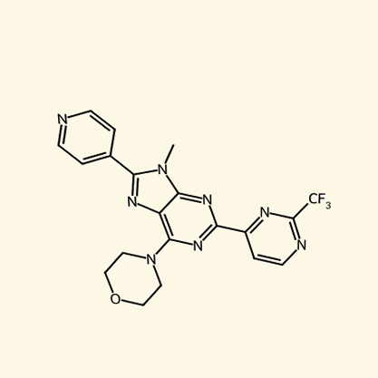 Cn1c(-c2ccncc2)nc2c(N3CCOCC3)nc(-c3ccnc(C(F)(F)F)n3)nc21